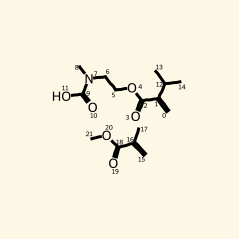 C=C(C(=O)OCCN(C)C(=O)O)C(C)C.C=C(C)C(=O)OC